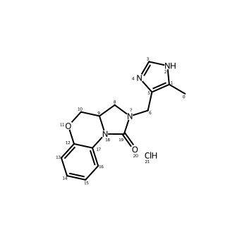 Cc1[nH]cnc1CN1CC2COc3ccccc3N2C1=O.Cl